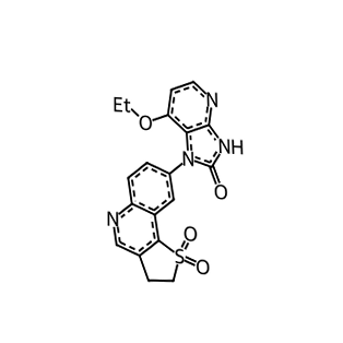 CCOc1ccnc2[nH]c(=O)n(-c3ccc4ncc5c(c4c3)S(=O)(=O)CC5)c12